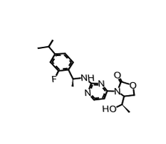 CC(C)c1ccc([C@H](C)Nc2nccc(N3C(=O)OCC3[C@@H](C)O)n2)c(F)c1